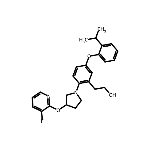 CC(C)c1ccccc1Oc1ccc(N2CCC(Oc3ncccc3F)C2)c(CCO)c1